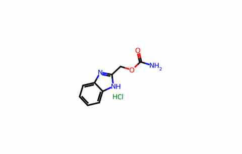 Cl.NC(=O)OCc1nc2ccccc2[nH]1